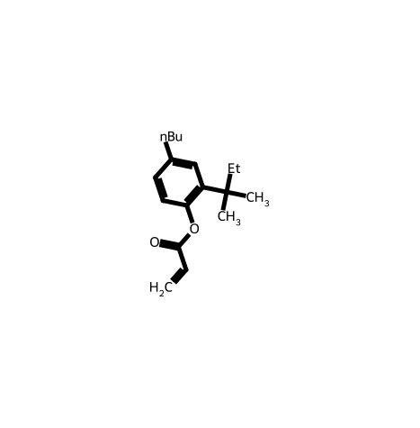 C=CC(=O)Oc1ccc(CCCC)cc1C(C)(C)CC